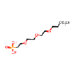 CCOC(=O)CCOCCOCCOCCP(=O)(O)O